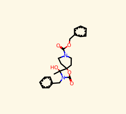 CC1(O)N(Cc2ccccc2)C(=O)OC12CCN(C(=O)OCc1ccccc1)CC2